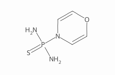 NP(N)(=S)N1C=COC=C1